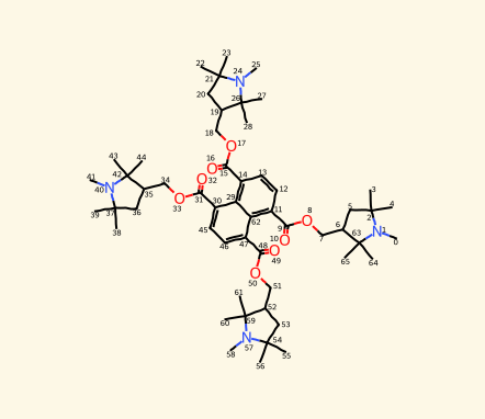 CN1C(C)(C)CC(COC(=O)c2ccc(C(=O)OCC3CC(C)(C)N(C)C3(C)C)c3c(C(=O)OCC4CC(C)(C)N(C)C4(C)C)ccc(C(=O)OCC4CC(C)(C)N(C)C4(C)C)c23)C1(C)C